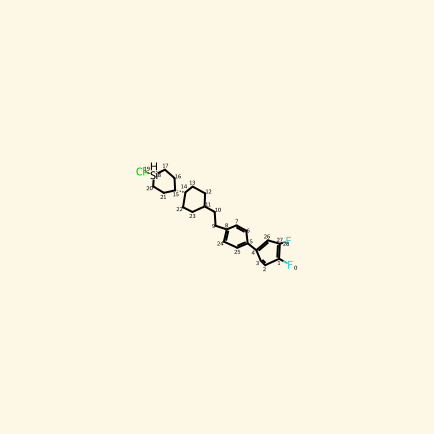 Fc1ccc(-c2ccc(CCC3CCC([C@H]4CC[Si@H](Cl)CC4)CC3)cc2)cc1F